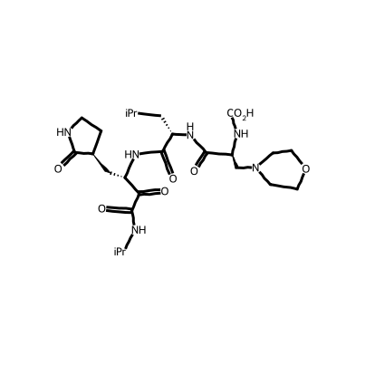 CC(C)C[C@H](NC(=O)[C@H](CN1CCOCC1)NC(=O)O)C(=O)N[C@@H](C[C@@H]1CCNC1=O)C(=O)C(=O)NC(C)C